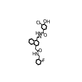 O=C(Cc1ccc(/C=N/NC(=O)c2ccc(O)c(Cl)c2)c2ccccc12)NCc1ccccc1F